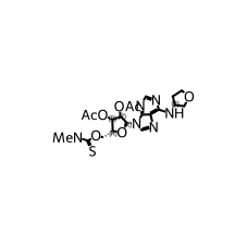 CNC(=S)OC[C@H]1O[C@@H](n2cnc3c(N[C@@H]4CCOC4)ncnc32)[C@H](OC(C)=O)[C@@H]1OC(C)=O